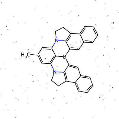 Cc1cc2c3c(c1)N1CCc4c1c(cc1ccccc41)B3c1cc3ccccc3c3c1N2CC3